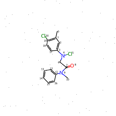 Cc1cc(N(Cl)CC(=O)N(C)c2ccccc2)ccc1Cl